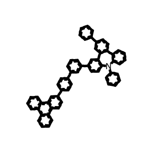 c1ccc(-c2ccc3c(c2)-c2cc(-c4cccc(-c5ccc(-c6ccc7c8ccccc8c8ccccc8c7c6)cc5)c4)ccc2N(c2ccccc2)c2ccccc2-3)cc1